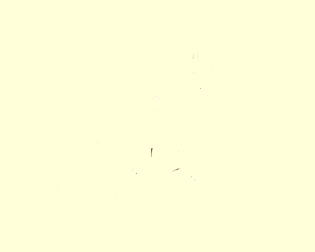 Bc1cc(C)c(C(=O)N2CCC[C@H](C(=O)Nc3ccc(C)c(C(F)(F)F)c3)[C@@H]2c2ccc(NC3CC(B)(B)C(B)(B)C3)cc2)c(F)c1